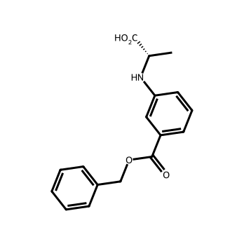 C[C@H](Nc1cccc(C(=O)OCc2ccccc2)c1)C(=O)O